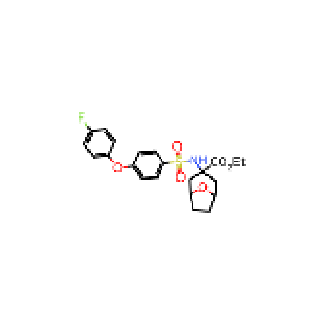 CCOC(=O)C1(NS(=O)(=O)c2ccc(Oc3ccc(F)cc3)cc2)CC2CCC(C1)O2